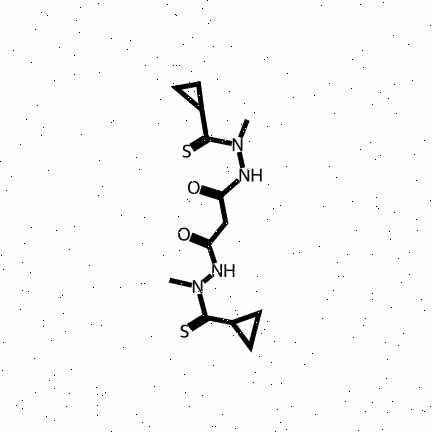 CN(NC(=O)CC(=O)NN(C)C(=S)C1CC1)C(=S)C1CC1